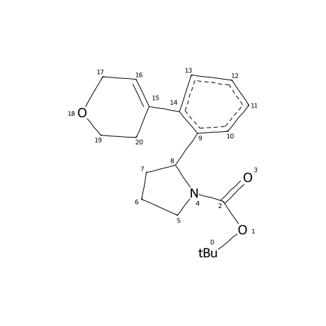 CC(C)(C)OC(=O)N1CCCC1c1ccccc1C1=CCOCC1